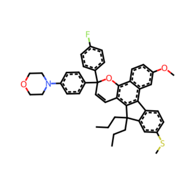 CCCC1(CCC)c2cc(SC)ccc2-c2c1c1c(c3ccc(OC)cc23)OC(c2ccc(F)cc2)(c2ccc(N3CCOCC3)cc2)C=C1